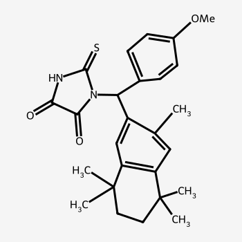 COc1ccc(C(c2cc3c(cc2C)C(C)(C)CCC3(C)C)N2C(=O)C(=O)NC2=S)cc1